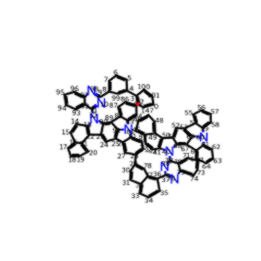 c1ccc(-c2cccc(-c3nc(-n4c5ccc6ccccc6c5c5cc6c7cc(-c8ccc9cccc(-c%10nc(-n%11c%12ccc%13ccccc%13c%12c%12cc%13c%14ccccc%14n%14c%15ccccc%15c(c%12%11)c%13%14)c%11ccccc%11n%10)c9c8)ccc7n7c8ccccc8c(c54)c67)c4ccccc4n3)c2)cc1